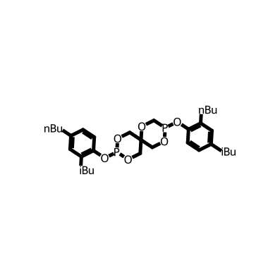 CCCCc1ccc(OP2OCC3(COP(Oc4ccc(C(C)CC)cc4CCCC)CO3)CO2)c(C(C)CC)c1